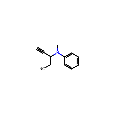 C#CC(CC#N)N(C)c1ccccc1